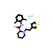 Cc1cccc(C)c1NC(=O)[C@@H]1CCCCN1CCc1ccsc1.Cl